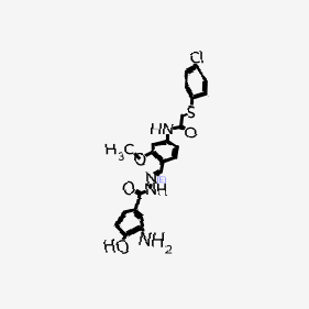 COc1cc(NC(=O)CSc2ccc(Cl)cc2)ccc1/C=N/NC(=O)c1ccc(O)c(N)c1